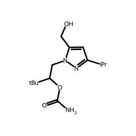 CC(C)c1cc(CO)n(CC(OC(N)=O)C(C)(C)C)n1